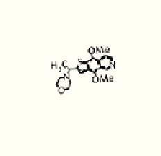 COc1c2cnccc2c(OC)c2sc(C(C)N3CCOCC3)cc12